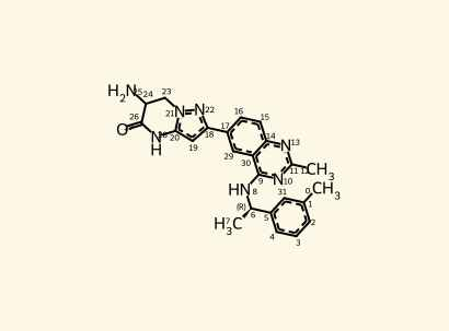 Cc1cccc([C@@H](C)Nc2nc(C)nc3ccc(-c4cc5n(n4)CC(N)C(=O)N5)cc23)c1